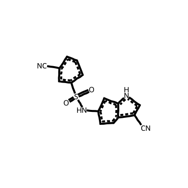 N#Cc1cccc(S(=O)(=O)Nc2ccc3c(C#N)c[nH]c3c2)c1